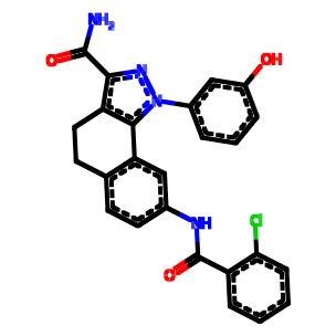 NC(=O)c1nn(-c2cccc(O)c2)c2c1CCc1ccc(NC(=O)c3ccccc3Cl)cc1-2